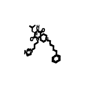 CC(C)C[C@@H]1NC(=O)C2(CCN(CCCCCc3ccccc3)CC2)N(CCCn2ccnc2)C1=O